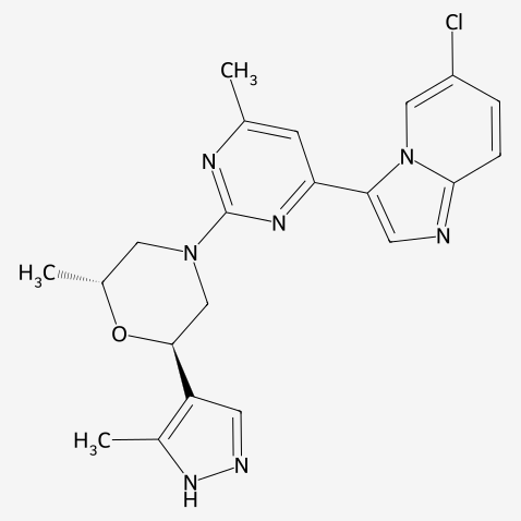 Cc1cc(-c2cnc3ccc(Cl)cn23)nc(N2C[C@@H](C)O[C@H](c3cn[nH]c3C)C2)n1